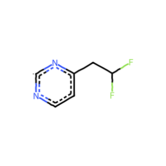 FC(F)Cc1ccn[c]n1